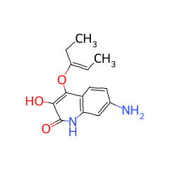 CC=C(CC)Oc1c(O)c(=O)[nH]c2cc(N)ccc12